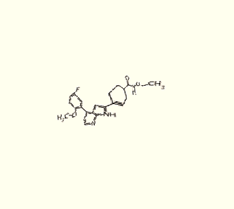 CCONC(=O)C1CC=C(c2cc3c(-c4cc(F)ccc4OC)ccnc3[nH]2)CC1